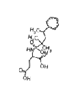 CC(CC(C)(C)P(=O)(O)NC(CCC(=O)O)C(=O)O)c1ccccc1